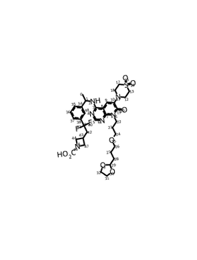 CC(Nc1ncnc2c1cc(N1CCS(=O)(=O)CC1)c(=O)n2CCCOCCCC1OCCO1)c1cccc(C(F)(F)CC2CN(C(=O)O)C2)c1